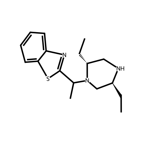 CC[C@H]1CN(C(C)c2nc3ccccc3s2)[C@H](CC)CN1